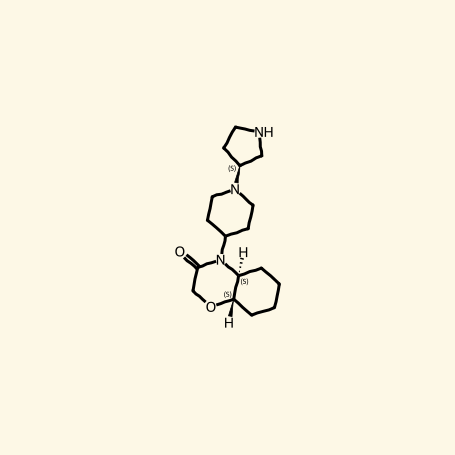 O=C1CO[C@H]2CCCC[C@@H]2N1C1CCN([C@H]2CCNC2)CC1